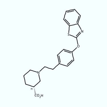 O=C(O)[C@@H]1CCCN(CCc2ccc(Oc3nc4ccccc4s3)cc2)C1